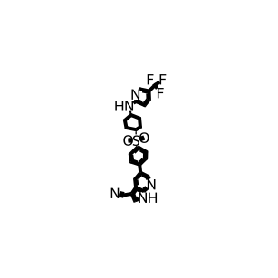 N#Cc1c[nH]c2ncc(-c3ccc(S(=O)(=O)[C@H]4CC[C@H](Nc5ccc(C(F)(F)F)cn5)CC4)cc3)cc12